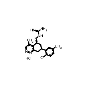 Cc1ccc(Cl)c(C2CC(=NNC(=N)N)c3c(C)cnnc3C2)c1.Cl